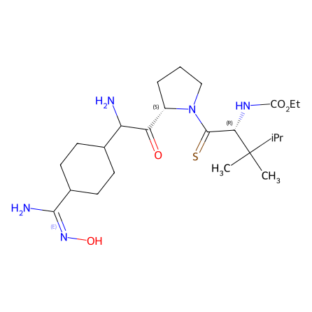 CCOC(=O)N[C@@H](C(=S)N1CCC[C@H]1C(=O)C(N)C1CCC(/C(N)=N\O)CC1)C(C)(C)C(C)C